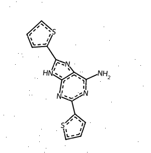 Nc1nc(-c2cccs2)nc2[nH]c(-c3cccs3)nc12